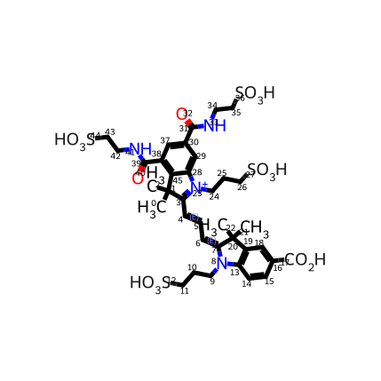 CC1(C)C(/C=C/C=C2/N(CCCS(=O)(=O)O)c3ccc(C(=O)O)cc3C2(C)C)=[N+](CCCS(=O)(=O)O)c2cc(C(=O)NCCS(=O)(=O)O)cc(C(=O)NCCS(=O)(=O)O)c21